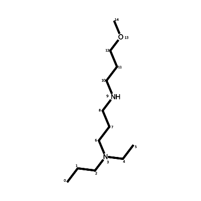 CCCN(CC)CCCNCCCOC